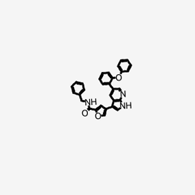 O=C(NCc1ccccc1)c1cc(-c2c[nH]c3ncc(-c4ccccc4Oc4ccccc4)cc23)co1